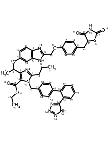 CCCc1nc(C(C)Sc2ccc3nc(COc4ccc(CC5SC(=O)NC5=O)cc4)[nH]c3c2)c(C(=O)OCC)n1Cc1ccc(-c2ccccc2-c2nnn[nH]2)cc1